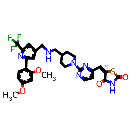 COc1ccc(-c2cc(CNCC3CCN(c4nccc(/C=C5/SC(=O)NC5=O)n4)CC3)cc(C(F)(F)F)n2)c(OC)c1